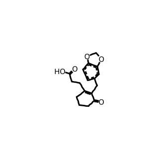 O=C(O)CCC1=C(Cc2ccc3c(c2)OCO3)C(=O)CCC1